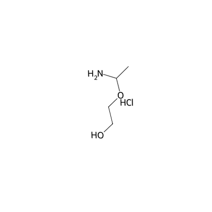 CC(N)OCCO.Cl